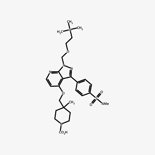 CNS(=O)(=O)c1ccc(-c2nn(COCC[Si](C)(C)C)c3nccc(OCC4(C)CCN(C(=O)O)CC4)c23)cc1